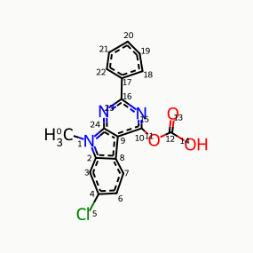 Cn1c2cc(Cl)ccc2c2c(OC(=O)O)nc(-c3ccccc3)nc21